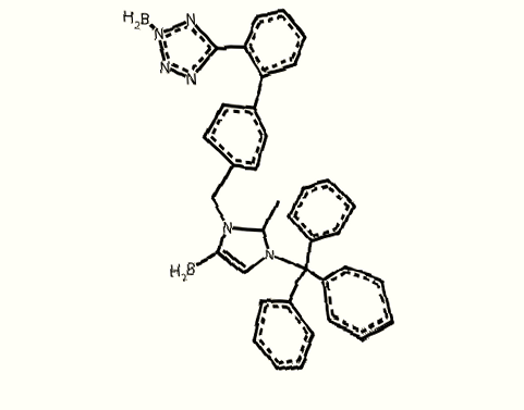 BC1=CN(C(c2ccccc2)(c2ccccc2)c2ccccc2)C(C)N1Cc1ccc(-c2ccccc2-c2nnn(B)n2)cc1